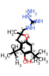 CC1(CNC(=N)NN)Cc2c(cc(C(C)(C)C)c(O)c2C(C)(C)C)O1